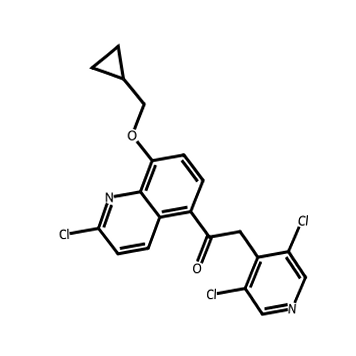 O=C(Cc1c(Cl)cncc1Cl)c1ccc(OCC2CC2)c2nc(Cl)ccc12